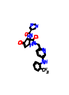 O=C1CCC(NC(=O)c2cncnc2)(C(=O)NCc2ccc(Nc3ccccc3C(F)(F)F)cn2)C1